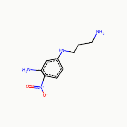 NCCCNc1ccc([N+](=O)[O-])c(N)c1